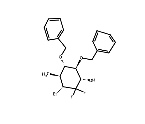 CC[C@@H]1[C@@H](C)[C@H](OCc2ccccc2)[C@@H](OCc2ccccc2)[C@H](O)C1(F)F